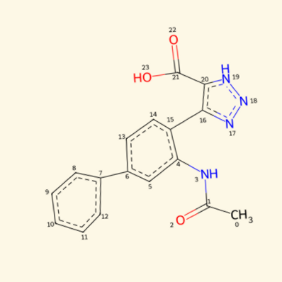 CC(=O)Nc1cc(-c2ccccc2)ccc1-c1nn[nH]c1C(=O)O